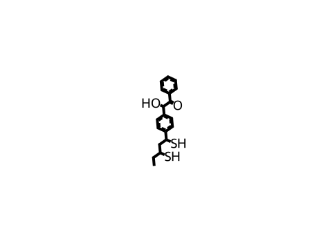 CCC(S)CC(S)c1ccc(C(O)C(=O)c2ccccc2)cc1